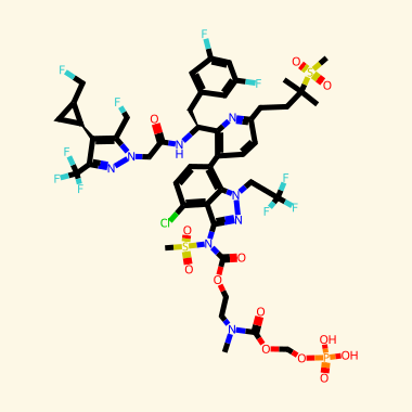 CN(CCOC(=O)N(c1nn(CC(F)(F)F)c2c(-c3ccc(CCC(C)(C)S(C)(=O)=O)nc3[C@H](Cc3cc(F)cc(F)c3)NC(=O)Cn3nc(C(F)(F)F)c([C@H]4CC4CF)c3CF)ccc(Cl)c12)S(C)(=O)=O)C(=O)OCOP(=O)(O)O